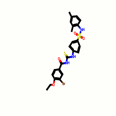 CCOc1ccc(C(=O)NC(=S)Nc2ccc(S(=O)(=O)Nc3ccc(C)cc3C)cc2)cc1Br